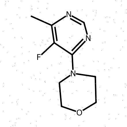 Cc1ncnc(N2CCOCC2)c1F